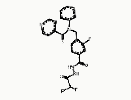 O=C(NNC(=O)C(F)F)c1ccc(CN(C(=S)c2ccncc2)c2ccccc2)c(F)c1